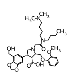 CCCCN(CCCCN(C)C)C(=O)CN1C[C@H](c2cc(CO)c3c(c2)OCO3)[C@@H](C(=O)O)[C@@H]1COc1ccccc1OC